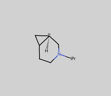 CC(C)N1CCC2C[C@H]2C1